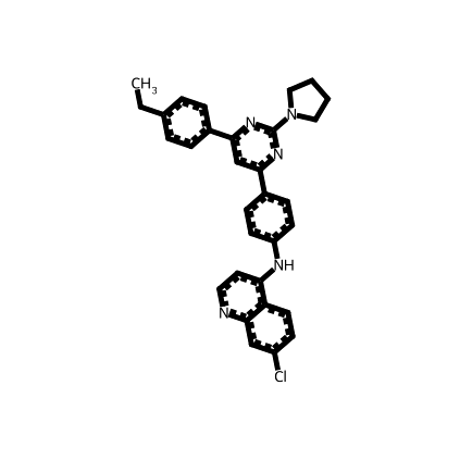 CCc1ccc(-c2cc(-c3ccc(Nc4ccnc5cc(Cl)ccc45)cc3)nc(N3CCCC3)n2)cc1